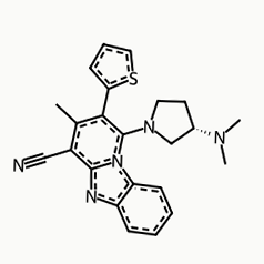 Cc1c(-c2cccs2)c(N2CC[C@H](N(C)C)C2)n2c(nc3ccccc32)c1C#N